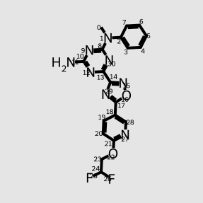 CN(c1ccccc1)c1nc(N)nc(-c2noc(-c3ccc(OCC(F)F)nc3)n2)n1